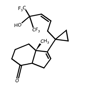 C[C@]12CCCC(=O)C1CC=C2C1(C/C=C\C(O)(C(F)(F)F)C(F)(F)F)CC1